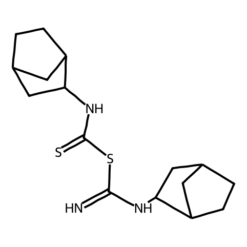 N=C(NC1CC2CCC1C2)SC(=S)NC1CC2CCC1C2